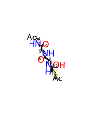 CC(=O)CNC(=O)CNC(=O)CNC(O)CSC(C)=O